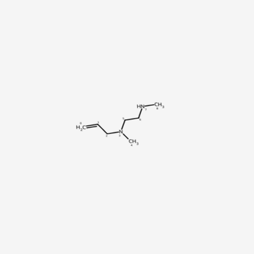 C=CCN(C)CCNC